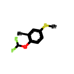 CC(C)Sc1ccc(OC(F)F)c(C(C)C)c1